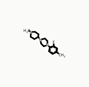 Cc1ccc(N2CCN(C3CCN(C)CC3)CC2)c(F)c1